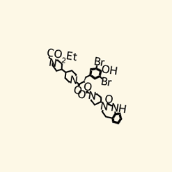 CCOC(=O)CN1CCC(C2CCN(C(=O)[C@@H](Cc3cc(Br)c(O)c(Br)c3)OC(=O)N3CCC(N4CCc5ccccc5NC4=O)CC3)CC2)CC1